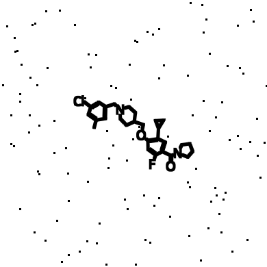 Cc1cc(Cl)cc(CN2CCC(COc3cc(F)c(C(=O)N4CCCC4)cc3C3CC3)CC2)c1